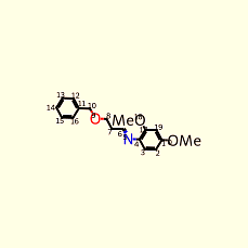 COc1ccc(N=CCCOCc2ccccc2)c(OC)c1